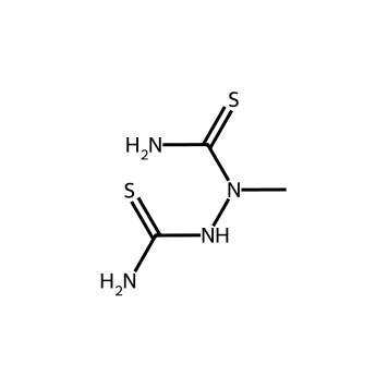 CN(NC(N)=S)C(N)=S